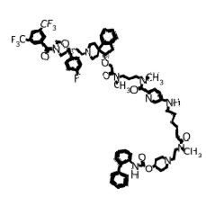 CN(CCN1CCC(OC(=O)Nc2ccccc2-c2ccccc2)CC1)C(=O)CCCCCNc1ccc(C(=O)N(C)CCCN(C)C(=O)CO[C@H]2Cc3ccccc3C23CCN(CC[C@]2(c4ccc(F)cc4)CN(C(=O)c4cc(C(F)(F)F)cc(C(F)(F)F)c4)CO2)CC3)nc1